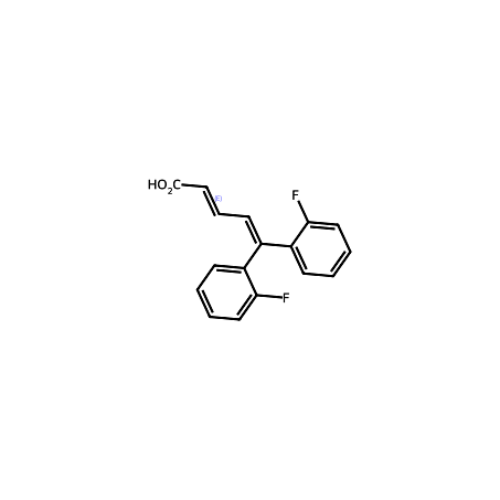 O=C(O)/C=C/C=C(c1ccccc1F)c1ccccc1F